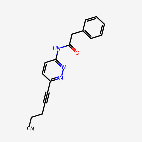 N#CCCC#Cc1ccc(NC(=O)Cc2ccccc2)nn1